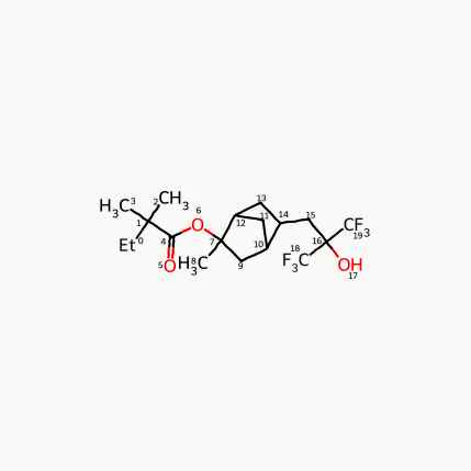 CCC(C)(C)C(=O)OC1(C)CC2CC1CC2CC(O)(C(F)(F)F)C(F)(F)F